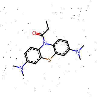 CCC(=O)N1c2ccc(N(C)C)cc2Sc2cc(N(C)C)ccc21